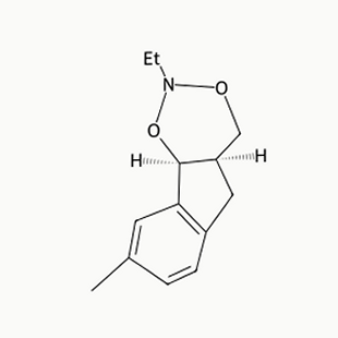 CCN1OC[C@H]2Cc3ccc(C)cc3[C@H]2O1